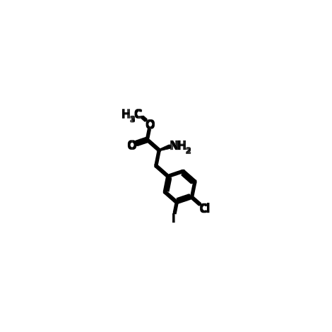 COC(=O)[C@@H](N)Cc1ccc(Cl)c(I)c1